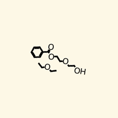 CCOCC.O=C(OCCOCCO)c1ccccc1